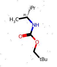 CC(C)[C@@H](C)NC(=O)OCC(C)(C)C